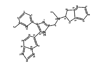 Cc1cccc(-c2nc(CN(C)C3Cc4ccccc4C3)[nH]c2-c2ccc3ncnn3c2)n1